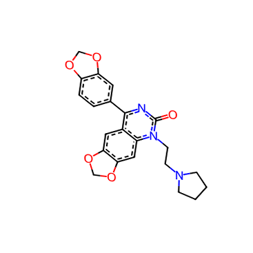 O=c1nc(-c2ccc3c(c2)OCO3)c2cc3c(cc2n1CCN1CCCC1)OCO3